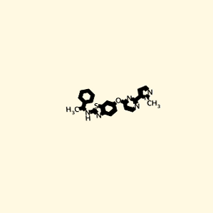 CC(Nc1nc2ccc(Oc3ccnc(-c4ccnn4C)n3)cc2s1)C1CCCCC1